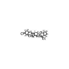 CC[C@@H](NC(=O)c1ccc2c(c1)ncn2Cc1ccc(Cl)cc1Cl)c1ccccc1